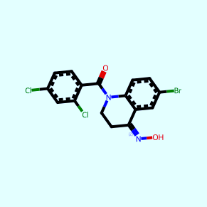 O=C(c1ccc(Cl)cc1Cl)N1CC/C(=N/O)c2cc(Br)ccc21